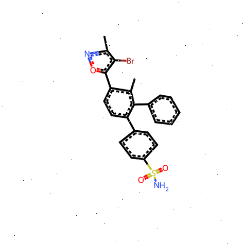 Cc1noc(-c2ccc(-c3ccc(S(N)(=O)=O)cc3)c(-c3ccccc3)c2C)c1Br